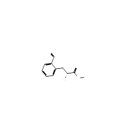 COC(=O)[C@@H](N)Cc1ccccc1C=O